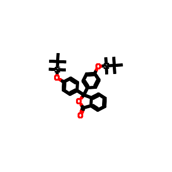 CC(C)(C)[Si](C)(C)Oc1ccc(C2(c3ccc(O[Si](C)(C)C(C)(C)C)cc3)OC(=O)c3ccccc32)cc1